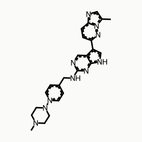 Cc1cnc2ccc(-c3c[nH]c4nc(NCc5cc[n+](N6CCN(C)CC6)cc5)ncc34)nn12